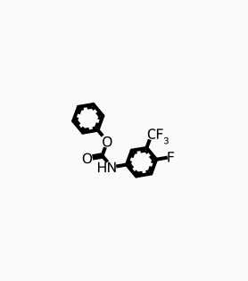 O=C(Nc1ccc(F)c(C(F)(F)F)c1)Oc1ccccc1